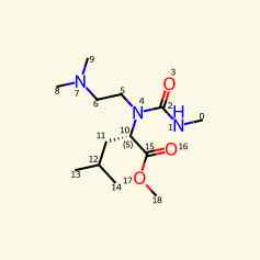 CNC(=O)N(CCN(C)C)[C@@H](CC(C)C)C(=O)OC